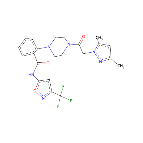 Cc1cc(C)n(CC(=O)N2CCN(c3ccccc3C(=O)Nc3cc(C(F)(F)F)no3)CC2)n1